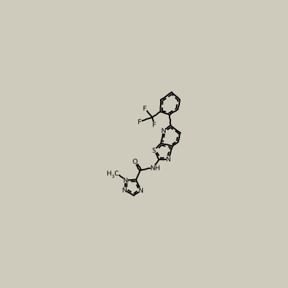 Cn1ncnc1C(=O)Nc1nc2ccc(-c3ccccc3C(F)(F)F)nc2s1